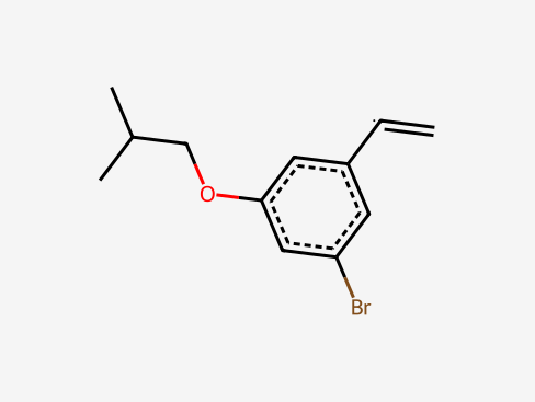 C=[C]c1cc(Br)cc(OCC(C)C)c1